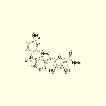 CNC(=O)[C@H]1O[C@@H](n2cnc3c(N(C)c4ccc(N)cc4)ncnc32)[C@H](O)[C@@H]1O